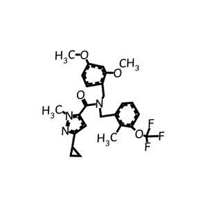 COc1ccc(CN(Cc2cccc(OC(F)(F)F)c2C)C(=O)c2cc(C3CC3)nn2C)c(OC)c1